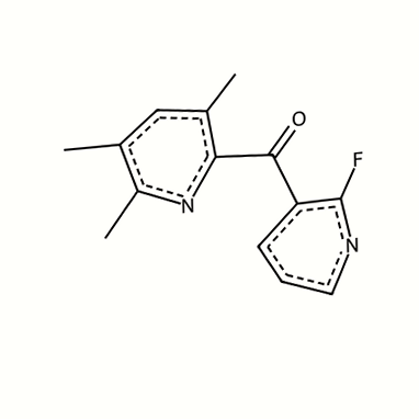 Cc1cc(C)c(C(=O)c2cccnc2F)nc1C